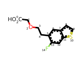 O=C(O)COCCc1cc2ccsc2cc1F